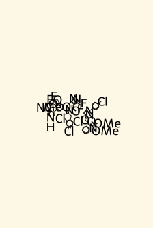 COC(=O)N(OC)c1ccccc1COc1ccn(-c2ccc(Cl)cc2)n1.CON(C(=O)c1cn(C)nc1C(F)F)C(C)Cc1c(Cl)cc(Cl)cc1Cl.N#Cc1c[nH]cc1-c1cccc2c1OC(F)(F)O2